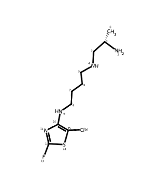 C[C@H](N)CNCCCCNc1nc(F)sc1Cl